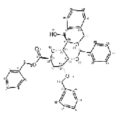 O=C(OCc1ccccc1)[C@@H]1C[C@@H](OCc2ccccc2)[C@@H](OCc2ccccc2)[C@@H]([C@@H](CO)OCc2ccccc2)O1